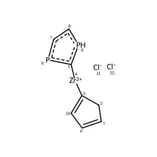 C1=CC[C]([Zr+2][c]2pcc[pH]2)=C1.[Cl-].[Cl-]